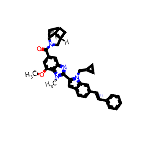 COc1cc(C(=O)N2C[C@H]3CC4CC2[C@H]43)cc2nc(-c3cc4ccc(/C=C/c5ccccc5)cc4n3CC3CC3)n(C)c12